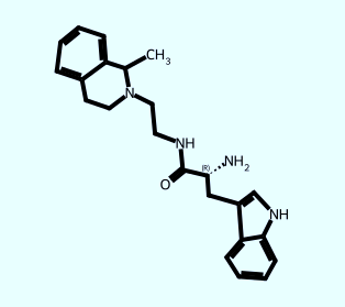 CC1c2ccccc2CCN1CCNC(=O)[C@H](N)Cc1c[nH]c2ccccc12